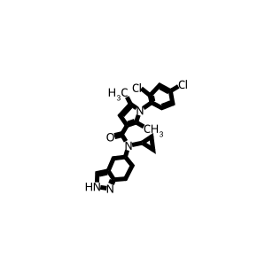 Cc1cc(C(=O)N(C2CC2)C2CCc3n[nH]cc3C2)c(C)n1-c1ccc(Cl)cc1Cl